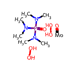 CN(C)P(=O)(N(C)C)N(C)C.OO.OO.[O]=[Mo]